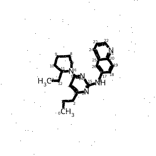 CCCc1cc(N2CCCCC2CC)nc(Nc2ccc3ncccc3c2)n1